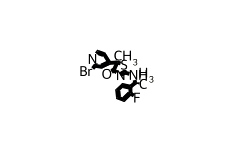 C[C@H](NC1=NC(=O)C(C)(c2ccnc(Br)c2)S1)c1ccccc1F